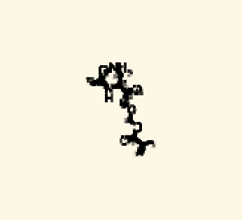 C=C(C)C(=O)OCOOC(=O)C(CN)NC(C)=O